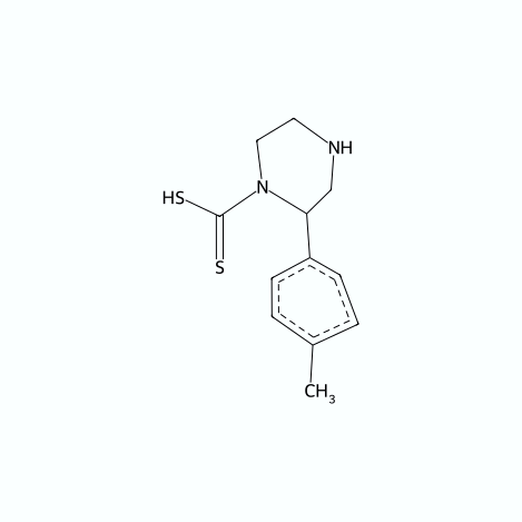 Cc1ccc(C2CNCCN2C(=S)S)cc1